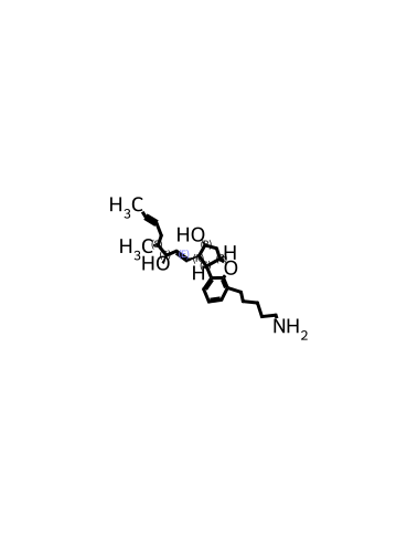 CC#CC[C@H](C)[C@H](O)/C=C/[C@@H]1[C@H]2c3cccc(CCCCCN)c3O[C@H]2C[C@H]1O